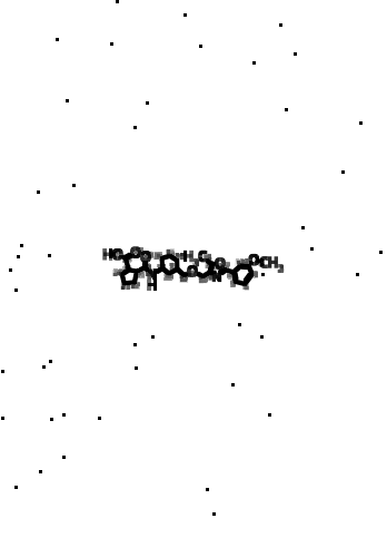 COc1cccc(-c2nc(COCC3CCCC(NC(=O)C4CCCC4C(=O)O)C3)c(C)o2)c1